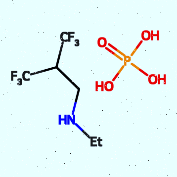 CCNCC(C(F)(F)F)C(F)(F)F.O=P(O)(O)O